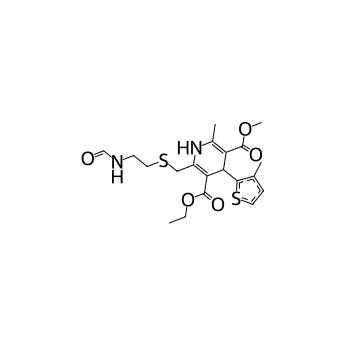 CCOC(=O)C1=C(CSCCNC=O)NC(C)=C(C(=O)OC)C1c1sccc1C